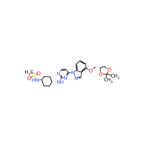 CC1(C)OC[C@@H](COc2cccc3c2cnn3-c2ccnc(N[C@H]3CC[C@H](NS(C)(=O)=O)CC3)n2)O1